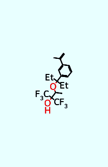 C=C(C)c1cccc(C(CC)(CC)OC(C)C(O)(C(F)(F)F)C(F)(F)F)c1